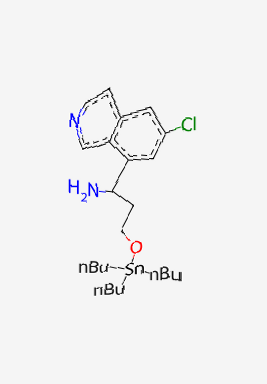 CCC[CH2][Sn]([CH2]CCC)([CH2]CCC)[O]CCC(N)c1cc(Cl)cc2ccncc12